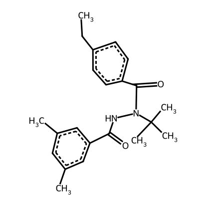 CCc1ccc(C(=O)N(NC(=O)c2cc(C)cc(C)c2)C(C)(C)C)cc1